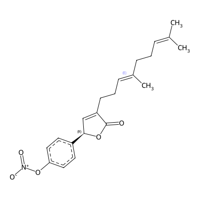 CC(C)=CCC/C(C)=C/CCC1=C[C@H](c2ccc(O[N+](=O)[O-])cc2)OC1=O